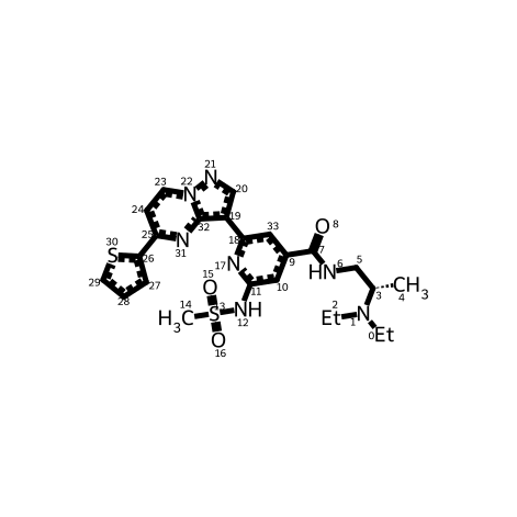 CCN(CC)[C@@H](C)CNC(=O)c1cc(NS(C)(=O)=O)nc(-c2cnn3ccc(-c4cccs4)nc23)c1